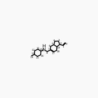 C=CC1CCC2CC(CNC3CCC(C)CC3)=CCC12